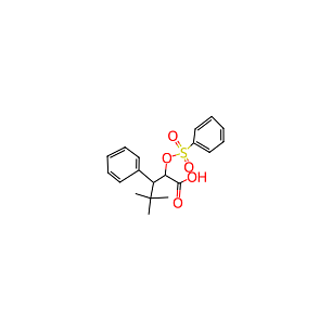 CC(C)(C)C(c1ccccc1)C(OS(=O)(=O)c1ccccc1)C(=O)O